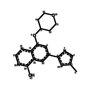 Cc1cnc(-c2cc(OC3CCOCC3)c3ncnc(O)c3c2)s1